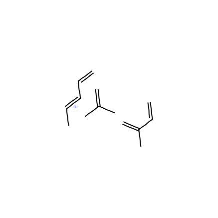 C=C(C)C.C=C/C=C/C.C=CC(=C)C